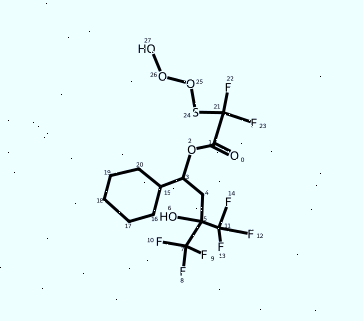 O=C(OC(CC(O)(C(F)(F)F)C(F)(F)F)C1CCCCC1)C(F)(F)SOOO